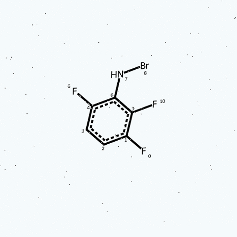 Fc1ccc(F)c(NBr)c1F